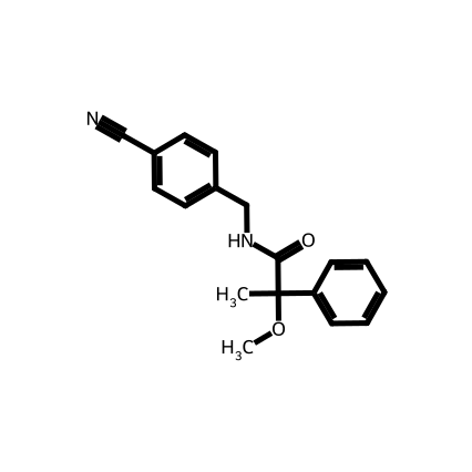 COC(C)(C(=O)NCc1ccc(C#N)cc1)c1ccccc1